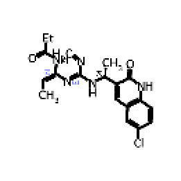 C=N/C(=N\C(=C/C)NC(=O)CC)N[C@@H](C)c1cc2cc(Cl)ccc2[nH]c1=O